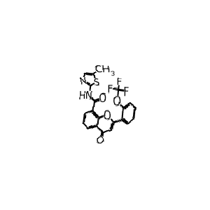 Cc1cnc(NC(=O)c2cccc3c(=O)cc(-c4ccccc4OC(F)(F)F)oc23)s1